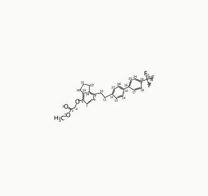 COC(=O)COc1ccc(CCc2ccc(-c3ccc(C(F)(F)F)cc3)cc2)c2c1CCC2